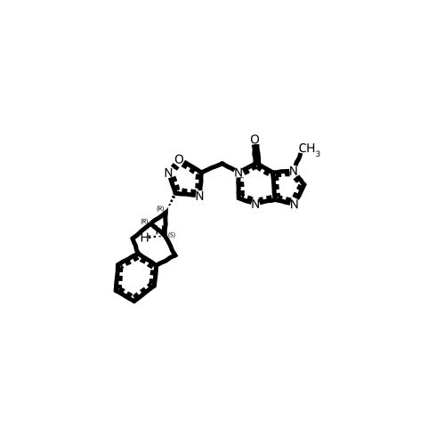 Cn1cnc2ncn(Cc3nc([C@H]4[C@@H]5Cc6ccccc6C[C@@H]54)no3)c(=O)c21